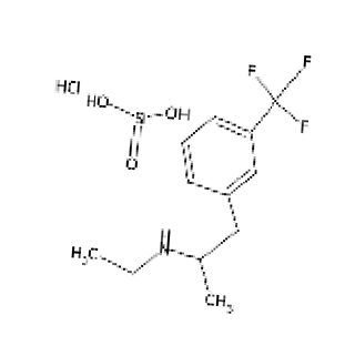 CCNC(C)Cc1cccc(C(F)(F)F)c1.Cl.O=[Si](O)O